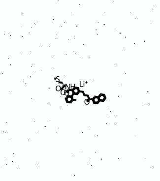 CSCC[C@H](NC(=O)c1ccc(CCCC(=O)c2ccc3ccccc3c2)cc1-c1ccccc1C)C(=O)[O-].[Li+]